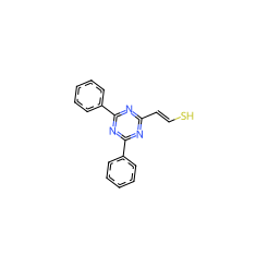 S/C=C/c1nc(-c2ccccc2)nc(-c2ccccc2)n1